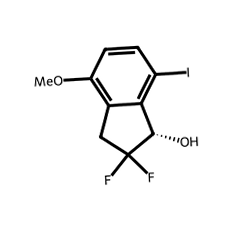 COc1ccc(I)c2c1CC(F)(F)[C@H]2O